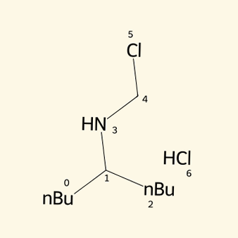 CCCCC(CCCC)NCCl.Cl